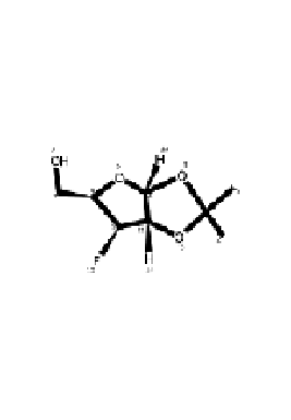 CC1(C)O[C@H]2O[C@H](CO)[C@H](F)[C@H]2O1